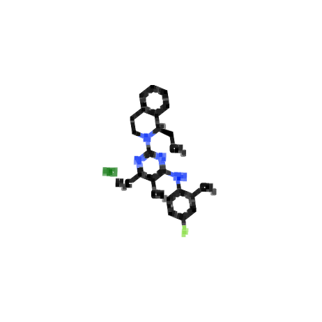 CC[C@@H]1c2ccccc2CCN1c1nc(C)c(C)c(Nc2ccc(F)cc2C)n1.Cl